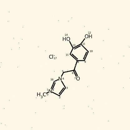 C[n+]1ccn(CC(=O)c2ccc(O)c(O)c2)c1.[Cl-]